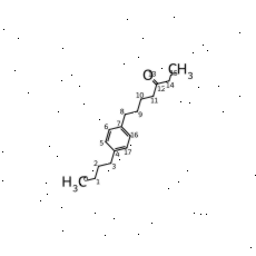 CCCCc1ccc(CCCCC(=O)CC)cc1